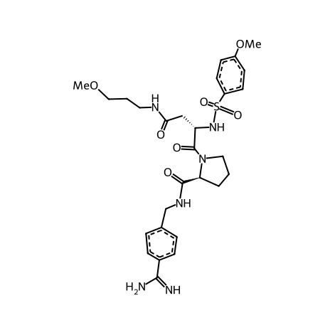 COCCCNC(=O)C[C@H](NS(=O)(=O)c1ccc(OC)cc1)C(=O)N1CCC[C@H]1C(=O)NCc1ccc(C(=N)N)cc1